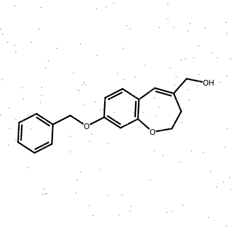 OCC1=Cc2ccc(OCc3ccccc3)cc2OCC1